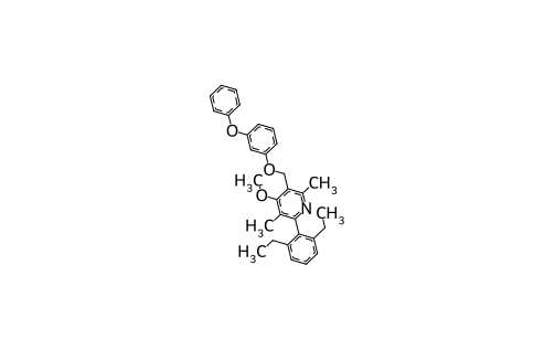 CCc1cccc(CC)c1-c1nc(C)c(COc2cccc(Oc3ccccc3)c2)c(OC)c1C